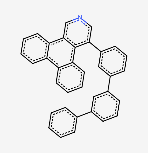 c1ccc(-c2cccc(-c3cccc(-c4cncc5c6ccccc6c6ccccc6c45)c3)c2)cc1